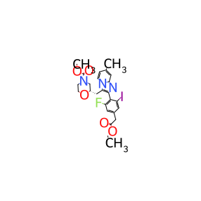 CCOC(=O)Cc1cc(F)c(-c2nc3cc(C)ccn3c2C[C@H]2CN(C(=O)OC)CCO2)c(I)c1